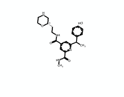 CNC(=O)c1cc(C(=O)NCC[C@H]2CNCCO2)cc(C(C)c2ccccc2)n1.Cl